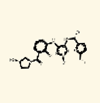 CC[C@@H](Nc1n[s+]([O-])nc1Nc1cccc(C(=O)N2CC[C@@H](O)C2)c1O)c1ccc(C)o1